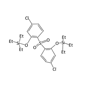 CC[Si](CC)(CC)Oc1cc(Cl)ccc1S(=O)(=O)c1ccc(Cl)cc1O[Si](CC)(CC)CC